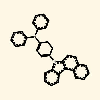 C1=C(N(c2ccccc2)c2ccccc2)CCC(n2c3ccccc3c3c4ccccc4ccc32)=C1